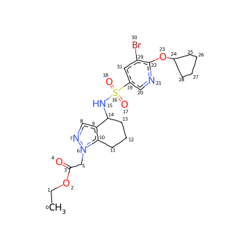 CCOC(=O)Cn1ncc2c1CCCC2NS(=O)(=O)c1cnc(OC2CCCC2)c(Br)c1